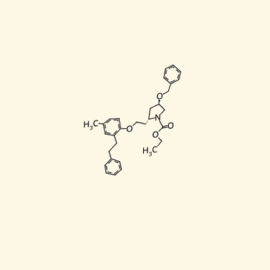 CCOC(=O)N1C[C@H](OCc2ccccc2)C[C@H]1CCOc1ccc(C)cc1CCc1ccccc1